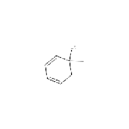 CCC1(C)[CH]C=CC=C1